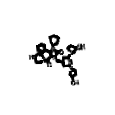 O=C(c1c(-c2ccccc2)n(C2CCCCC2)c(=O)n1Cc1cc(N2CCC(O)C2)nc(N2CCC(O)C2)c1)N1CCNCC1